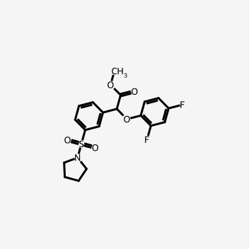 COC(=O)C(Oc1ccc(F)cc1F)c1cccc(S(=O)(=O)N2CCCC2)c1